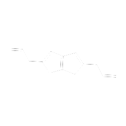 C=CCC1=Cc2cc(CC=C)sc2C1